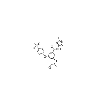 COCC(C)Oc1cc(Oc2ccc(S(C)(=O)=O)cc2)cc(C(=O)Nc2nc(C)ns2)c1